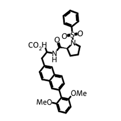 COc1cccc(OC)c1-c1ccc2cc(CC(NC(=O)[C@@H]3CCCN3S(=O)(=O)c3ccccc3)C(=O)O)ccc2c1